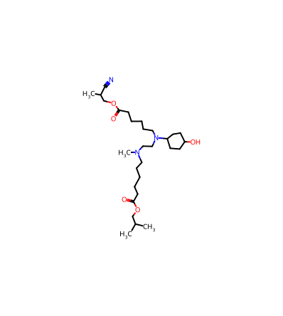 CC(C)COC(=O)CCCCCN(C)CCN(CCCCCC(=O)OCC(C)C#N)C1CCC(O)CC1